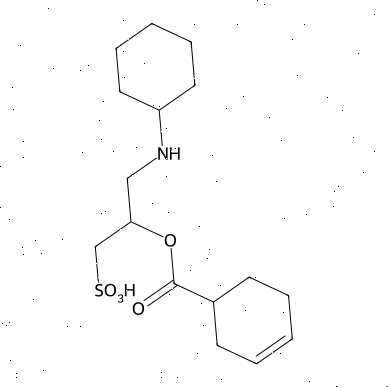 O=C(OC(CNC1CCCCC1)CS(=O)(=O)O)C1CC=CCC1